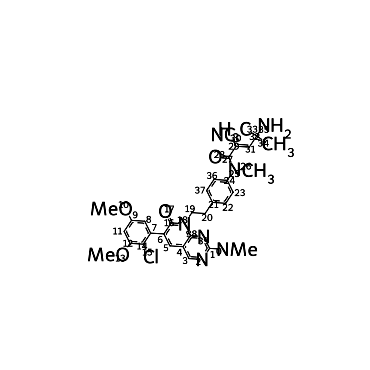 CNc1ncc2cc(-c3cc(OC)cc(OC)c3Cl)c(=O)n(CCc3ccc(N(C)C(=O)C(C#N)=CC(C)(C)N)cc3)c2n1